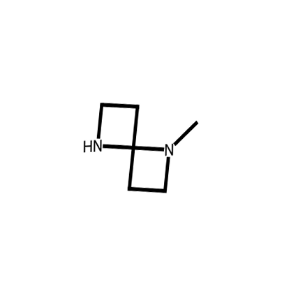 CN1CCC12CCN2